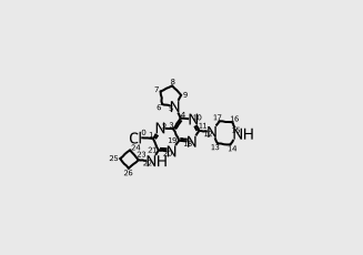 Clc1nc2c(N3CCCC3)nc(N3CCNCC3)nc2nc1NC1CCC1